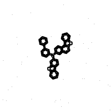 c1ccc(-c2cccc(N(c3ccc4c(ccc5oc6ccccc6c54)c3)c3ccc4c(c3)oc3ccccc34)c2)cc1